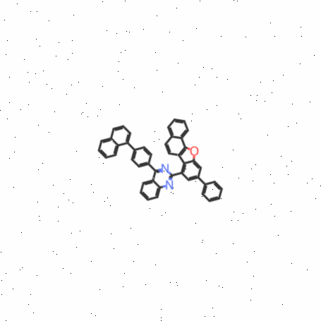 c1ccc(-c2cc(-c3nc(-c4ccc(-c5cccc6ccccc56)cc4)c4ccccc4n3)c3c(c2)oc2c4ccccc4ccc23)cc1